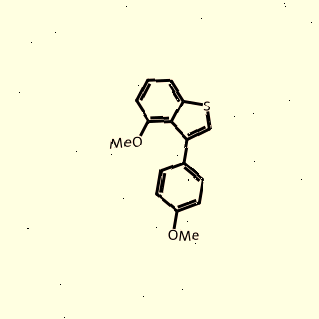 COc1ccc(-c2csc3cccc(OC)c23)cc1